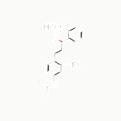 CCOc1cc(OC(F)F)ccc1/C=C/C(=O)c1ccccc1C(=O)O